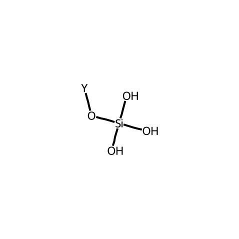 O[Si](O)(O)[O][Y]